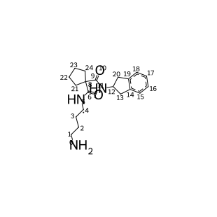 NCCC[CH]NC(=O)C1(C(=O)NC2Cc3ccccc3C2)CCCC1